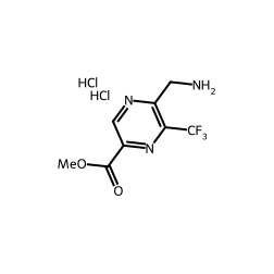 COC(=O)c1cnc(CN)c(C(F)(F)F)n1.Cl.Cl